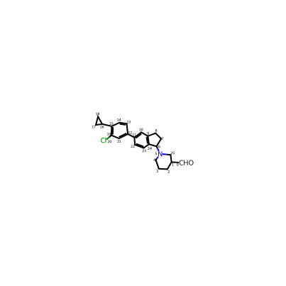 O=CC1CCCN(C2CCc3cc(-c4ccc(C5CC5)c(Cl)c4)ccc32)C1